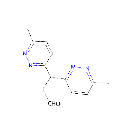 Cc1ccc(C(CC=O)c2ccc(C)nn2)nn1